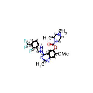 COc1cc2nc(C)nc(NCc3cccc(C(F)F)c3F)c2cc1OC(=O)N1CCN(C)CC1C